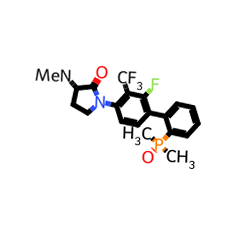 CNC1CCN(c2ccc(-c3ccccc3P(C)(C)=O)c(F)c2C(F)(F)F)C1=O